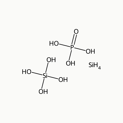 O=P(O)(O)O.O[Si](O)(O)O.[SiH4]